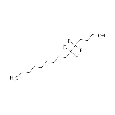 CCCCCCCCCC(F)(F)C(F)(F)CCCO